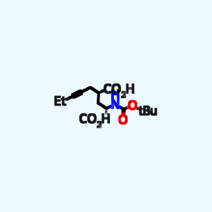 CCC#CC[C@H](C[C@H](NC(=O)OC(C)(C)C)C(=O)O)C(=O)O